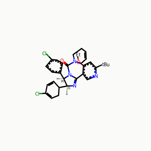 CCOc1cc(C(C)(C)C)ncc1C1=N[C@@](C)(C2C=CC(Cl)=CC2)[C@@](C)(c2ccc(Cl)cc2)N1C(=O)N1CC=CCC1